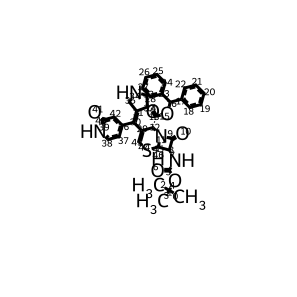 CC(C)(C)OC(=O)N[C@@H]1C(=O)N2[C@@H](C(=O)OC(c3ccccc3)c3ccccc3)C(/C(=C3\CCNC3)c3cc[nH]c(=O)c3)=CS[C@H]12